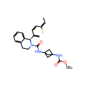 C=C(/C=C\C(F)=C/C)[C@@H]1c2ccccc2CCN1C(=O)NC12CC(NC(=O)OC(C)(C)C)(C1)C2